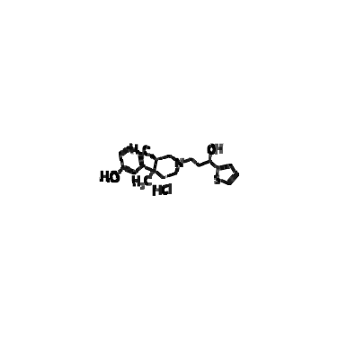 C[C@H]1CN(CC[C@@H](O)c2cccs2)CC[C@]1(C)c1cccc(O)c1.Cl